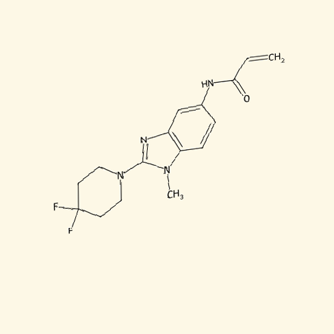 C=CC(=O)Nc1ccc2c(c1)nc(N1CCC(F)(F)CC1)n2C